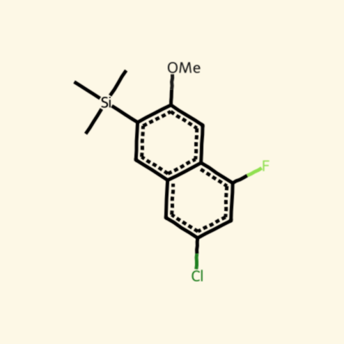 COc1cc2c(F)cc(Cl)cc2cc1[Si](C)(C)C